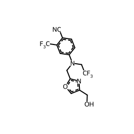 N#Cc1ccc(N(Cc2nc(CO)co2)CC(F)(F)F)cc1C(F)(F)F